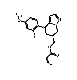 C=CC(=O)NC[C@H]1CN(c2ccc(OC(F)(F)F)cc2F)c2ccnn2C1